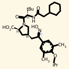 Cc1cc(/C(C[C@H]2C[C@@H](C(=O)O)N(C(=O)[C@@H](NC(=O)CC3CCCCC3)C(C)(C)C)C2)=N/O)cc(C)c1OC(C)C